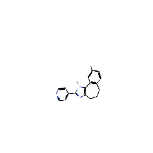 Cc1ccc2c(c1)-c1c(nc(-c3ccncc3)n1O)CCC2